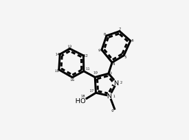 Cn1nc(-c2ccccc2)c(-c2ccccc2)c1O